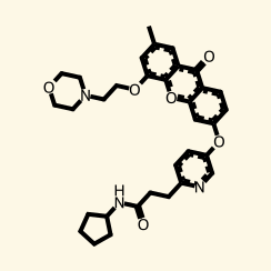 Cc1cc(OCCN2CCOCC2)c2oc3cc(Oc4ccc(CCC(=O)NC5CCCC5)nc4)ccc3c(=O)c2c1